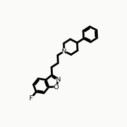 Fc1ccc2c(CCCN3CCC(c4ccccc4)CC3)noc2c1